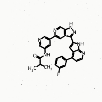 CC(C)C(=O)Nc1cncc(-c2cc3c(-c4cc5c(-c6cccc(F)c6)ccnc5[nH]4)n[nH]c3cn2)c1